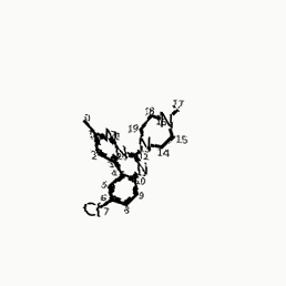 Cc1cc2c3cc(Cl)ccc3nc(N3CCN(C)CC3)n2n1